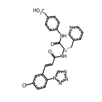 O=C(C=Cc1cc(Cl)ccc1-n1cnnn1)N[C@@H](Cc1cccnc1)C(=O)Nc1ccc(C(=O)O)cc1